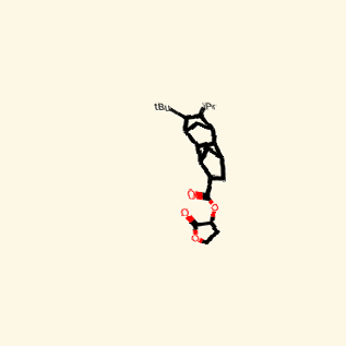 CC(C)C1C2CC(C3C4CC(CC4C(=O)OC4CCOC4=O)C23)C1C(C)(C)C